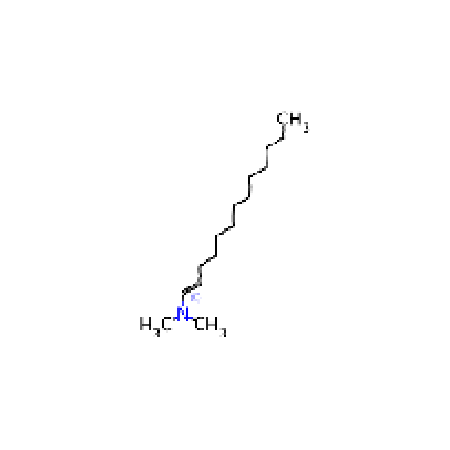 CCCCCCCCCCC/C=C/N(C)C